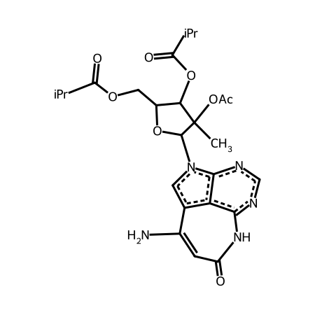 CC(=O)OC1(C)C(OC(=O)C(C)C)C(COC(=O)C(C)C)OC1n1cc2c3c(ncnc31)NC(=O)C=C2N